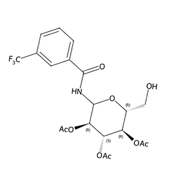 CC(=O)O[C@H]1[C@H](OC(C)=O)[C@@H](OC(C)=O)C(NC(=O)c2cccc(C(F)(F)F)c2)O[C@@H]1CO